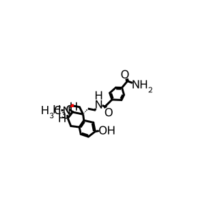 C[C@H]1[C@H]2Cc3ccc(O)cc3[C@]1(CCNC(=O)c1ccc(C(N)=O)cc1)CCN2C